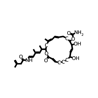 C=C(C)CC(=O)N/C=C/C(C)=C/C(C)C1C/C(C)=C/C=C/CCC(OC(N)=O)C(O)/C=C/C(O)CCC/C=C/C(=O)O1